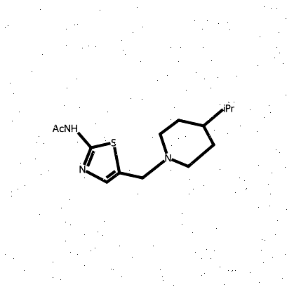 CC(=O)Nc1ncc(CN2CCC(C(C)C)CC2)s1